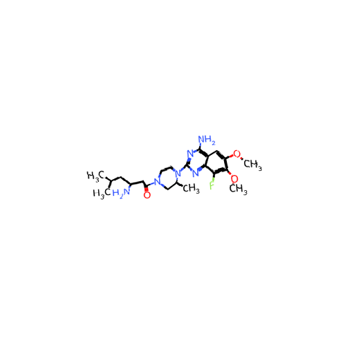 COc1cc2c(N)nc(N3CCN(C(=O)CC(N)CC(C)C)CC3C)nc2c(F)c1OC